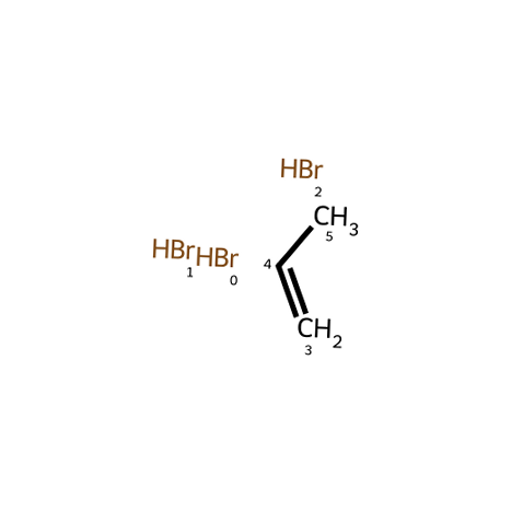 Br.Br.Br.C=CC